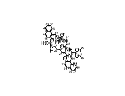 CCOC(OCC)C(C)N(Cc1cccc2cccnc12)C(=O)C(CCCCNC(=O)O)NC(=O)CN(C)NC(=O)NCc1cccc2ccccc12